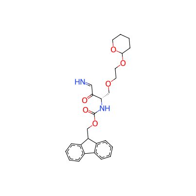 N=CC(=O)[C@H](COCCOC1CCCCO1)NC(=O)OCC1c2ccccc2-c2ccccc21